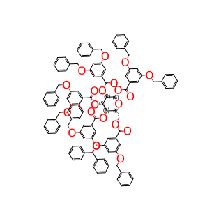 O=C(OC[C@H]1O[C@@H](OC(=O)c2cc(OCc3ccccc3)cc(OCc3ccccc3)c2)[C@H](OC(=O)c2cc(OCc3ccccc3)cc(OCc3ccccc3)c2)[C@@H](OC(=O)c2cc(OCc3ccccc3)cc(OCc3ccccc3)c2)[C@@H]1OC(=O)c1cc(OCc2ccccc2)cc(OCc2ccccc2)c1)c1cc(OCc2ccccc2)cc(OCc2ccccc2)c1